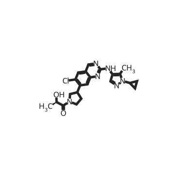 Cc1c(Nc2ncc3cc(Cl)c(C4CCN(C(=O)[C@@H](C)O)C4)cc3n2)cnn1C1CC1